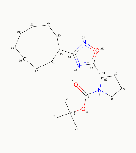 CC(C)(C)OC(=O)N1CCC[C@H]1c1nc(C2CCCCCCCC2)no1